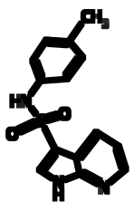 Cc1ccc(NS(=O)(=O)c2c[nH]c3ncccc23)cc1